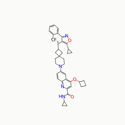 O=C(NC1CC1)c1cc(OC2CCC2)c2cc(N3CCC4(CC3)CC(Cc3c(-c5ccccc5C(F)(F)F)noc3C3CC3)C4)ccc2n1